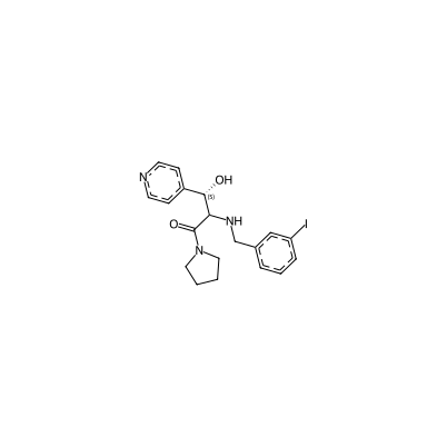 O=C(C(NCc1cccc(I)c1)[C@@H](O)c1ccncc1)N1CCCC1